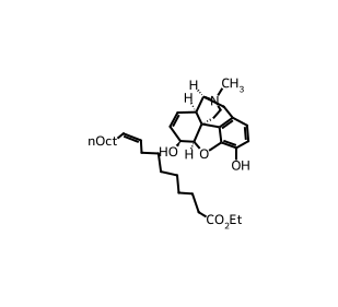 CCCCCCCC/C=C\CCCCCCCC(=O)OCC.CN1CC[C@]23c4c5ccc(O)c4O[C@H]2[C@@H](O)C=C[C@H]3[C@H]1C5